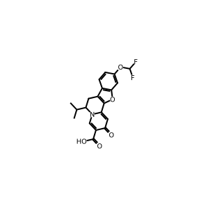 CC(C)C1Cc2c(oc3cc(OC(F)F)ccc23)-c2cc(=O)c(C(=O)O)cn21